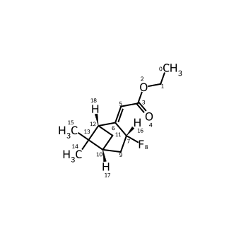 CCOC(=O)C=C1[C@H](F)C[C@H]2C[C@@H]1C2(C)C